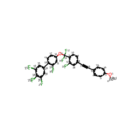 CCCCOc1ccc(C#Cc2ccc(C(F)(F)Oc3ccc(-c4cc(F)c(F)c(F)c4)c(F)c3)c(F)c2)cc1